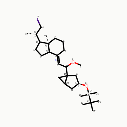 COC(/C=C1\CCC[C@@]2(C)C1CCC2[C@H](C)CI)C12CC1C[C@H](O[Si](C)(C)C(C)(C)C)C2